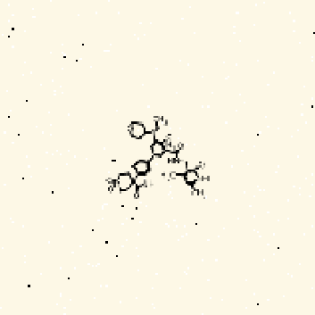 CCN(c1cc(-c2ccc3c(c2)NC(=O)C32CCS(=O)(=O)CC2)cc(C(=O)NCc2c(C)cc(C)[nH]c2=O)c1C)C1CCOCC1